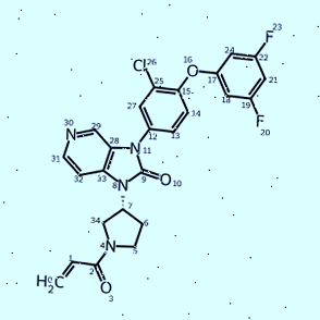 C=CC(=O)N1CC[C@@H](n2c(=O)n(-c3ccc(Oc4cc(F)cc(F)c4)c(Cl)c3)c3cnccc32)C1